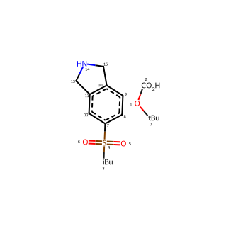 CC(C)(C)OC(=O)O.CCC(C)S(=O)(=O)c1ccc2c(c1)CNC2